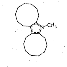 Cn1c2c(c3c1CCCCCCCC3)CCCCCCCC2